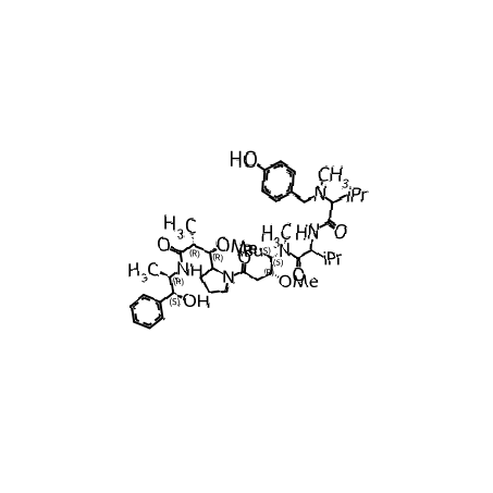 CC[C@H](C)[C@@H]([C@@H](CC(=O)N1CCCC1[C@H](OC)[C@@H](C)C(=O)N[C@H](C)[C@@H](O)c1ccccc1)OC)N(C)C(=O)C(NC(=O)C(C(C)C)N(C)Cc1ccc(O)cc1)C(C)C